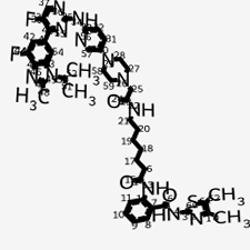 Cc1nc(NC(=O)c2ccccc2NC(=O)CCCCCCNC(=O)CN2CCN(c3ccc(Nc4ncc(F)c(-c5cc(F)c6nc(C)n(C(C)C)c6c5)n4)nc3)CC2)sc1C